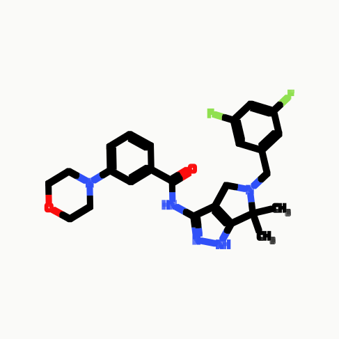 CC1(C)c2[nH]nc(NC(=O)c3cccc(N4CCOCC4)c3)c2CN1Cc1cc(F)cc(F)c1